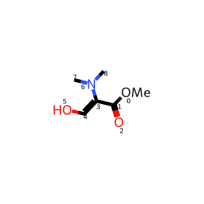 COC(=O)C(=CO)N(C)C